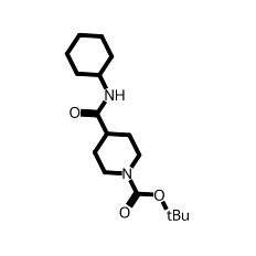 CC(C)(C)OC(=O)N1CCC(C(=O)NC2CCCCC2)CC1